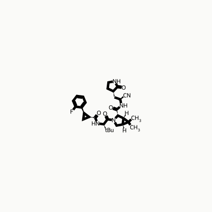 CC(C)(C)[C@H](NC(=O)[C@@H]1C[C@H]1c1ccccc1F)C(=O)N1C[C@H]2[C@@H]([C@H]1C(=O)N[C@H](C#N)C[C@@H]1CCNC1=O)C2(C)C